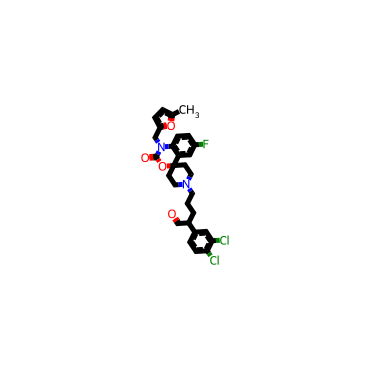 Cc1ccc(CN2C(=O)OC3(CCN(CCCC(C=O)c4ccc(Cl)c(Cl)c4)CC3)c3cc(F)ccc32)o1